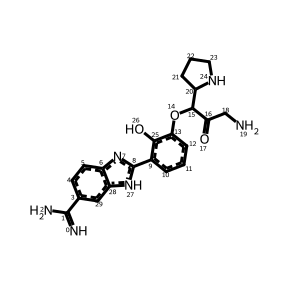 N=C(N)c1ccc2nc(-c3cccc(OC(C(=O)CN)C4CCCN4)c3O)[nH]c2c1